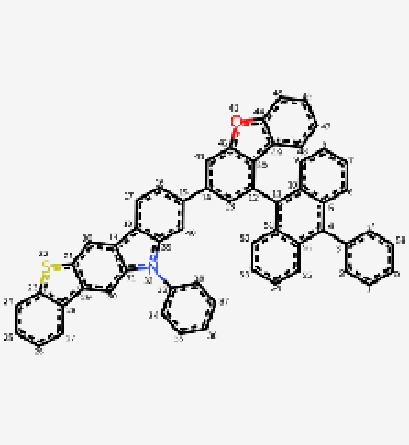 c1ccc(-c2c3ccccc3c(-c3cc(-c4ccc5c6cc7sc8ccccc8c7cc6n(-c6ccccc6)c5c4)cc4oc5ccccc5c34)c3ccccc23)cc1